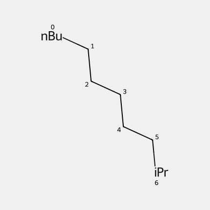 CCCCCCCCCC(C)C